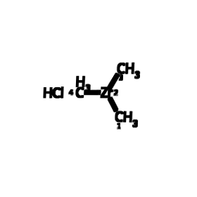 Cl.[CH3][Zr]([CH3])[CH3]